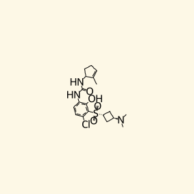 CC1=CCCC1NC(=O)Nc1ccc(Cl)c(S(=O)(=O)[C@H]2C[C@H](N(C)C)C2)c1O